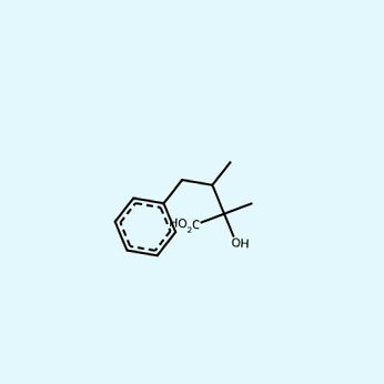 CC(Cc1ccccc1)C(C)(O)C(=O)O